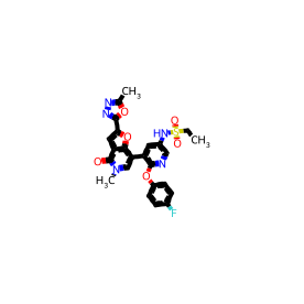 CCS(=O)(=O)Nc1cnc(Oc2ccc(F)cc2)c(-c2cn(C)c(=O)c3cc(-c4nnc(C)o4)oc23)c1